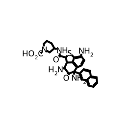 Nc1ccc2c3c1SC(C(=O)NC1CCCN(C(=O)O)C1)C3C(N)C(=O)C2(N)c1ccc2ccccc2c1